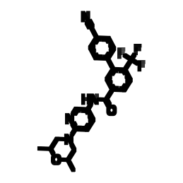 CC1CN(c2ccc(NC(=O)c3ccc(C(F)(F)F)c(-c4ccc(C#N)cc4)c3)cn2)CC(C)O1